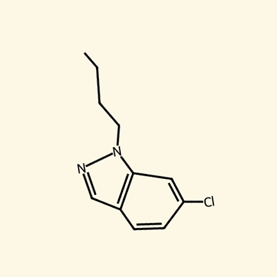 CCCCn1ncc2ccc(Cl)cc21